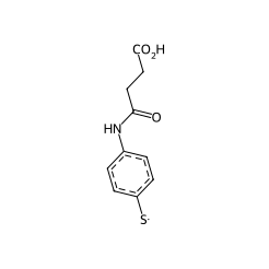 O=C(O)CCC(=O)Nc1ccc([S])cc1